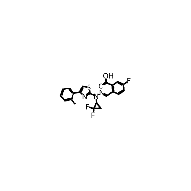 Cc1ccccc1-c1csc(N(/N=C/c2ccc(F)cc2C(=O)O)C2CC2(F)F)n1